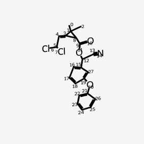 CC1(C)C(=CC(Cl)Cl)C1C(=O)OC(C#N)c1cccc(Oc2ccccc2)c1